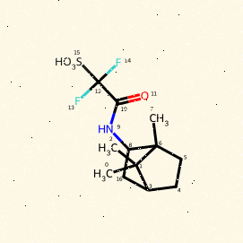 CC1(C)C2CCC1(C)C(NC(=O)C(F)(F)S(=O)(=O)O)C2